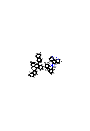 c1ccc2cc(-c3c4ccccc4c(-c4ccc5ccccc5c4)c4cc(-c5ccc6c(c5)c5ccccc5c5nc7c8cccnc8c8ncccc8c7n65)ccc34)ccc2c1